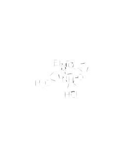 CCN(CC)N1C(=C(C(=O)c2ccccc2)C(=O)c2ccccc2)Nc2cc(C)ccc21.Cl